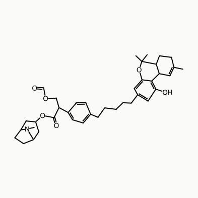 CC1=CC2c3c(O)cc(CCCCCc4ccc(C(COC=O)C(=O)OC5CC6CCC(C5)N6C)cc4)cc3OC(C)(C)C2CC1